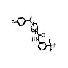 CC(c1ccc(F)cc1)N1CC2CC1CN2C(=O)Nc1cccc(C(F)(F)F)c1